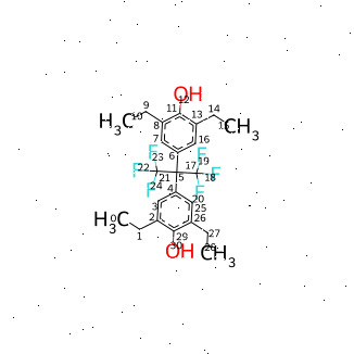 CCc1cc(C(c2cc(CC)c(O)c(CC)c2)(C(F)(F)F)C(F)(F)F)cc(CC)c1O